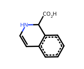 O=C(O)C1NC=Cc2ccccc21